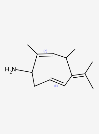 CC(C)=C1/C=C/CC(N)/C(C)=C\C1C